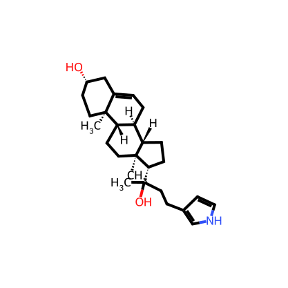 CC(O)(CCc1cc[nH]c1)[C@H]1CC[C@H]2[C@@H]3CC=C4C[C@@H](O)CC[C@]4(C)[C@H]3CC[C@]12C